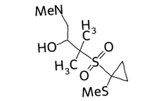 CNCC(O)C(C)(C)S(=O)(=O)C1(SC)CC1